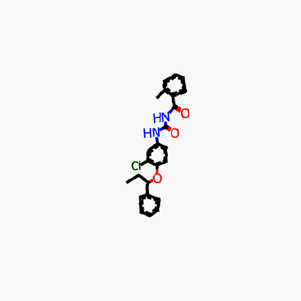 CCC(Oc1ccc(NC(=O)NC(=O)c2ccccc2C)cc1Cl)c1ccccc1